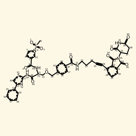 CS(=O)(=O)n1ccc(C(=O)N[C@@H](COCc2ccc(C(=O)NCCCC#Cc3cccc4c3C(=O)N(C3CCC(=O)NC3=O)C4=O)cc2)C(=O)Nc2nc(-c3ccccc3)cs2)c1